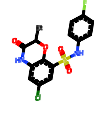 CCC1Oc2c(cc(Cl)cc2S(=O)(=O)Nc2ccc(F)cc2)NC1=O